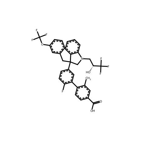 Cc1cc(C(=O)O)ccc1-c1cc(C2(Cc3cccc(OC(F)(F)F)c3)CN(C[C@@H](O)C(F)(F)F)c3ccccc32)ccc1F